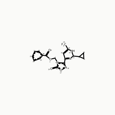 O=C(OCn1c(C2=NC(C3CC3)NC(C(F)(F)F)=C2)noc1=O)c1ccccc1